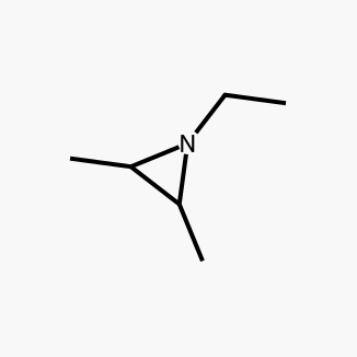 CCN1C(C)C1C